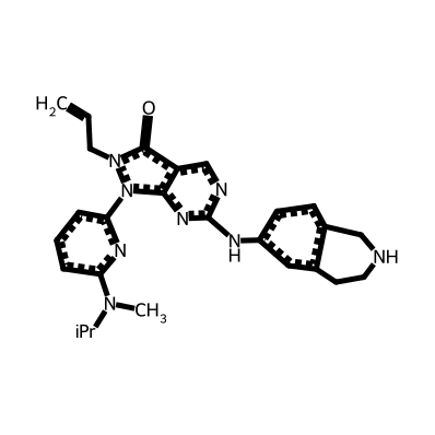 C=CCn1c(=O)c2cnc(Nc3ccc4c(c3)CCNC4)nc2n1-c1cccc(N(C)C(C)C)n1